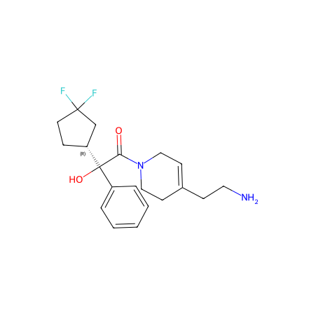 NCCC1=CCN(C(=O)C(O)(c2ccccc2)[C@@H]2CCC(F)(F)C2)CC1